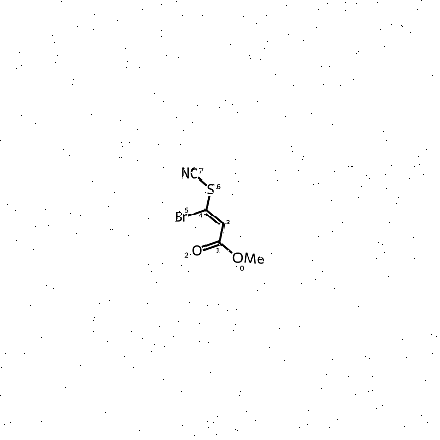 COC(=O)C=C(Br)SC#N